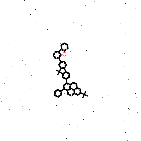 CC(C)(C)c1cc2ccc3c(-c4ccccc4)cc(-c4ccc5c(c4)C(C)(C)c4cc(-c6cccc7c6oc6ccccc67)ccc4-5)c4ccc(c1)c2c34